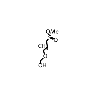 C.COS(=O)CCCOCO